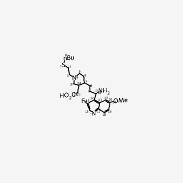 CCCCSCCN1CCC(CC[C@@H](N)c2c(F)cnc3ccc(OC)cc23)C(CC(=O)O)C1